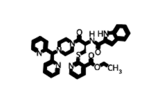 CCOC(=O)c1cccnc1SC[C@H](NC(=O)c1cc2ccccc2[nH]1)C(=O)N1CCN(C(c2ccccn2)c2ccccn2)CC1